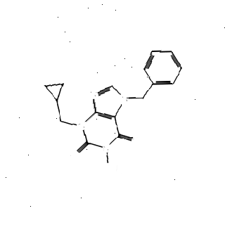 Cn1c(=O)c2c(ncn2Cc2ccccc2)n(CC2CC2)c1=O